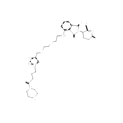 O=C1CCC(N2C(=O)c3cccc(NCCOCCOCc4cn(CCCC(=O)N5CCNCC5)nn4)c3C2=O)C(=O)N1